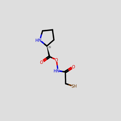 O=C(CS)NOC(=O)[C@@H]1CCCN1